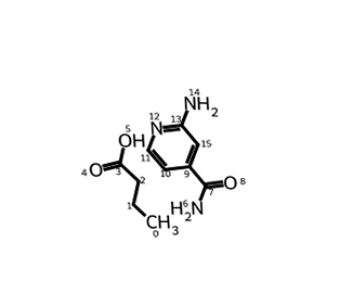 CCCC(=O)O.NC(=O)c1ccnc(N)c1